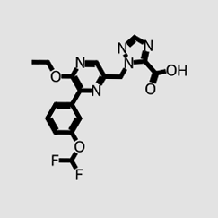 CCOc1ncc(Cn2ncnc2C(=O)O)nc1-c1cccc(OC(F)F)c1